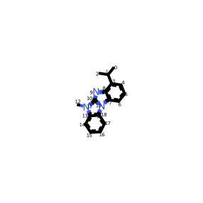 CC(C)c1cccc2c1nc1n(C)c3ccccc3n21